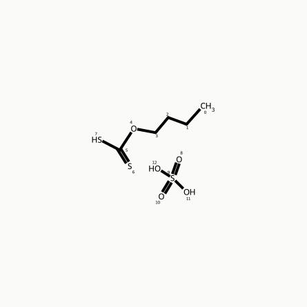 CCCCOC(=S)S.O=S(=O)(O)O